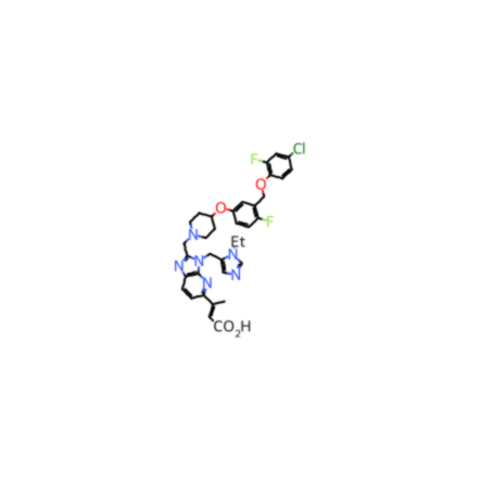 CCn1cncc1Cn1c(CN2CCC(Oc3ccc(F)c(COc4ccc(Cl)cc4F)c3)CC2)nc2ccc(/C(C)=C/C(=O)O)nc21